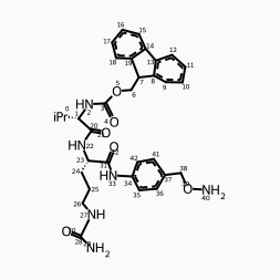 CC(C)[C@H](NC(=O)OCC1c2ccccc2-c2ccccc21)C(=O)N[C@@H](CCCNC(N)=O)C(=O)Nc1ccc(CON)cc1